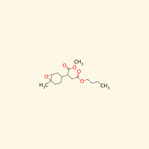 CCCCOC(=O)CC(C(=O)OC)C1CCC2(C)OC2C1